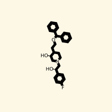 O[C@H](CN1CCC(CCOC(c2ccccc2)c2ccccc2)[C@@H](O)C1)c1ccc(F)cc1